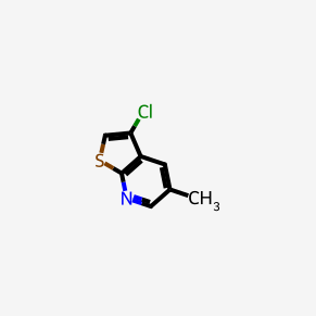 Cc1cnc2scc(Cl)c2c1